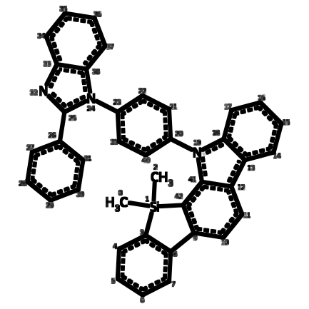 C[Si]1(C)c2ccccc2-c2ccc3c4ccccc4n(-c4ccc(-n5c(-c6ccccc6)nc6ccccc65)cc4)c3c21